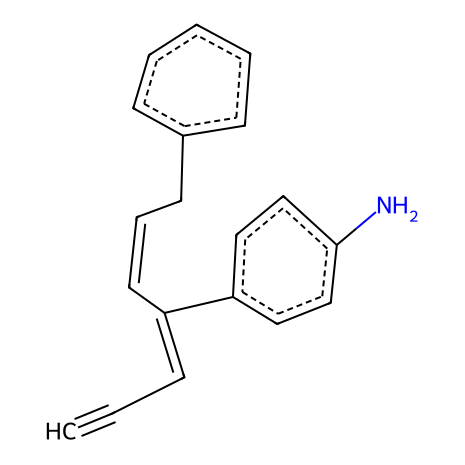 C#C/C=C(\C=C/Cc1ccccc1)c1ccc(N)cc1